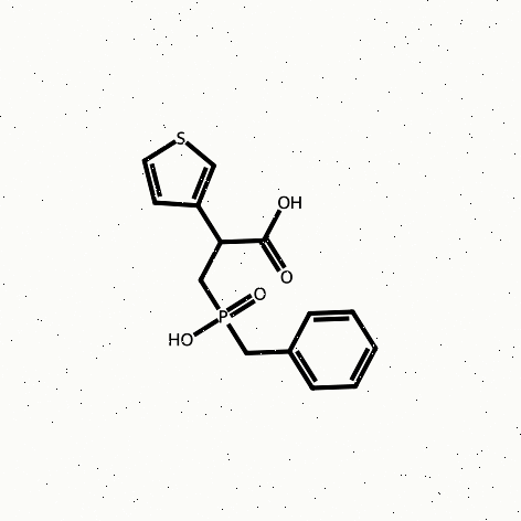 O=C(O)C(CP(=O)(O)Cc1ccccc1)c1ccsc1